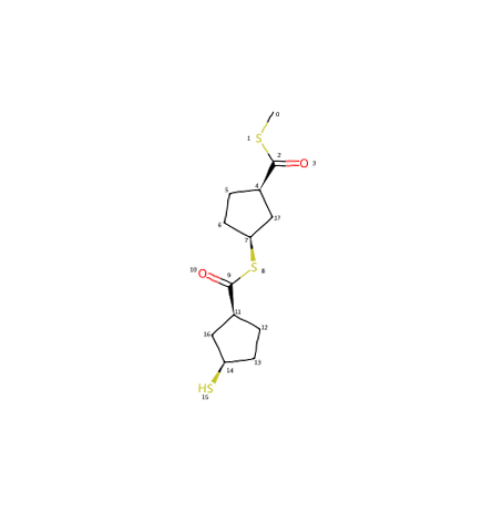 CSC(=O)[C@@H]1CC[C@H](SC(=O)[C@H]2CC[C@@H](S)C2)C1